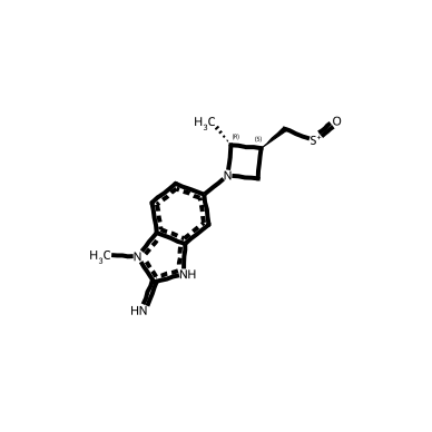 C[C@@H]1[C@@H](C[S+]=O)CN1c1ccc2c(c1)[nH]c(=N)n2C